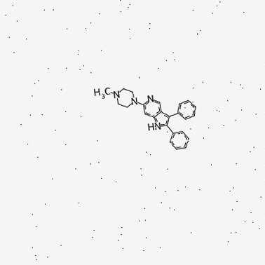 CN1CCN(c2cc3[nH]c(-c4ccccc4)c(-c4ccccc4)c3cn2)CC1